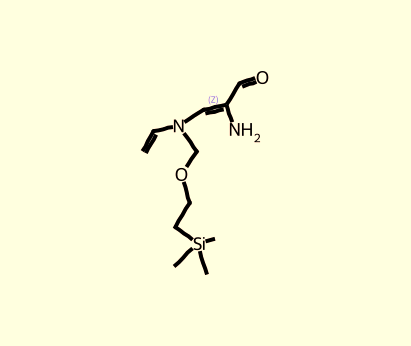 C=CN(/C=C(\N)C=O)COCC[Si](C)(C)C